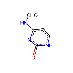 O=CNc1cc[nH]c(=O)n1